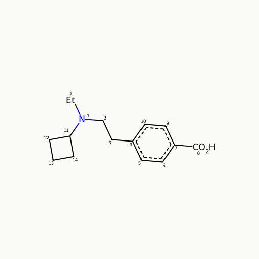 CCN(CCc1ccc(C(=O)O)cc1)C1CCC1